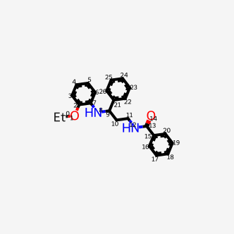 CCOc1ccccc1NC(CCNC(=O)c1ccccc1)c1ccccc1